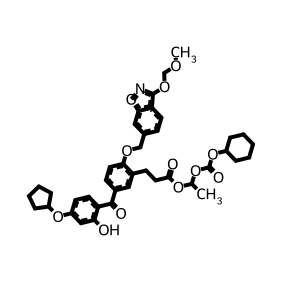 COCOc1noc2cc(COc3ccc(C(=O)c4ccc(OC5CCCC5)cc4O)cc3CCC(=O)OC(C)OC(=O)OC3CCCCC3)ccc12